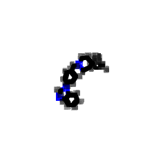 CCC1(C)CCN(Cc2ccc(-n3cnc4ccccc43)cc2)CC1